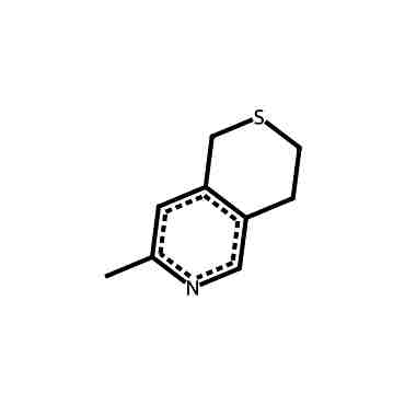 Cc1cc2c(cn1)CCSC2